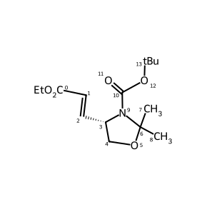 CCOC(=O)/C=C/[C@H]1COC(C)(C)N1C(=O)OC(C)(C)C